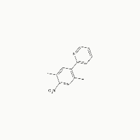 Cc1cc([N+](=O)[O-])c(C)cc1-c1ccccn1